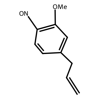 C=CCc1ccc(N=O)c(OC)c1